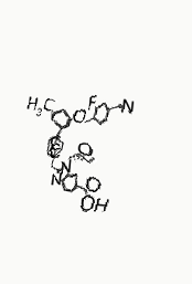 Cc1cc(OCc2ccc(C#N)cc2F)cc(C23CCC(Cc4nc5ccc(C(=O)O)cc5n4C[C@@H]4CCO4)(CC2)CC3)c1